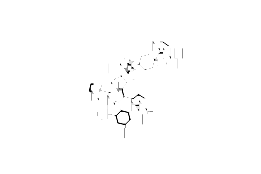 O=S(=O)(NC1CC2=C(c3ccn(C(F)F)n3)[C@H](c3ccc(F)cc3Cl)N=C(c3nccs3)N2C1)C1CCC(O)(c2ncc[nH]2)CC1